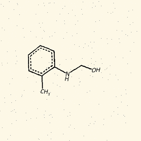 Cc1ccccc1NCO